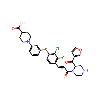 O=C(O)C1CCN(c2cccc(Sc3ccc(/C=C/C(=O)N4CCNCC4C(=O)c4ccoc4)c(Cl)c3Cl)c2)CC1